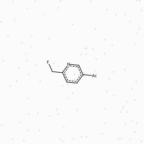 CC(=O)c1ccc(CF)nc1